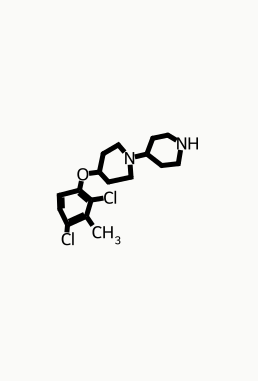 Cc1c(Cl)ccc(OC2CCN(C3CCNCC3)CC2)c1Cl